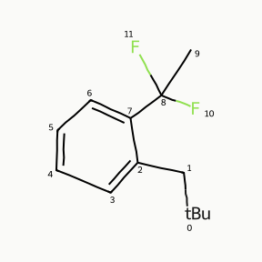 CC(C)(C)Cc1ccccc1C(C)(F)F